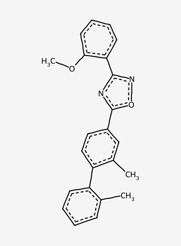 COc1ccccc1-c1noc(-c2ccc(-c3ccccc3C)c(C)c2)n1